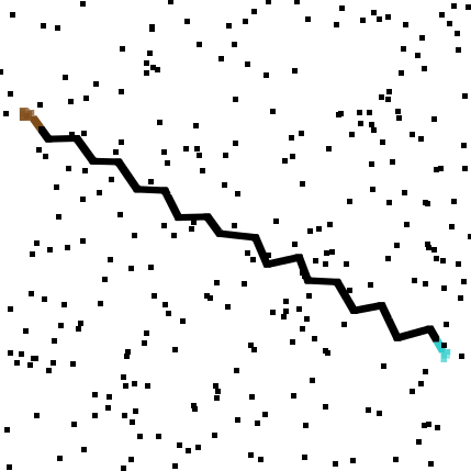 FCCCCCCCCCCCCCCCCCCBr